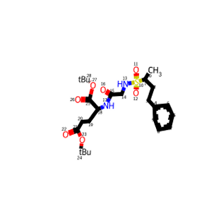 CC(CCc1ccccc1)S(=O)(=O)NCC(=O)NC(CCC(=O)OC(C)(C)C)C(=O)OC(C)(C)C